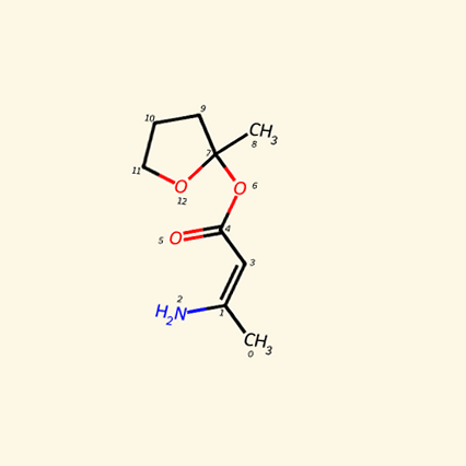 CC(N)=CC(=O)OC1(C)CCCO1